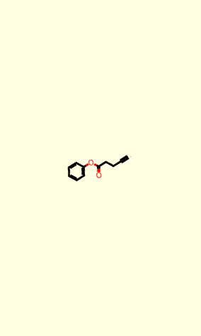 [C]#CCCC(=O)Oc1ccccc1